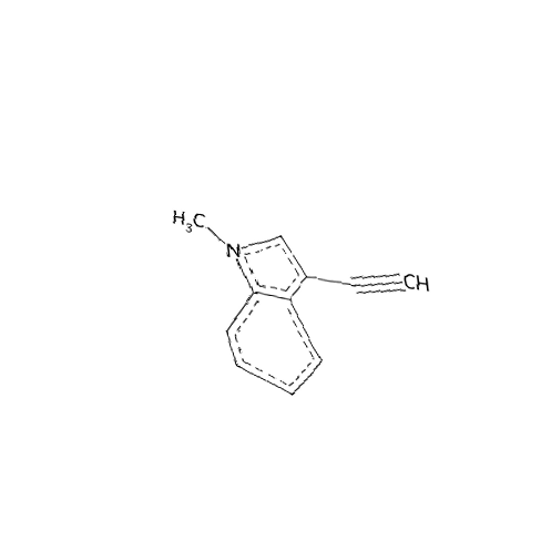 C#Cc1cn(C)c2ccccc12